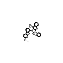 Cc1ccc2c(n1)oc1c(N3c4nc5ccccc5nc4N(c4ccccc4)C3C)c(C)ccc12